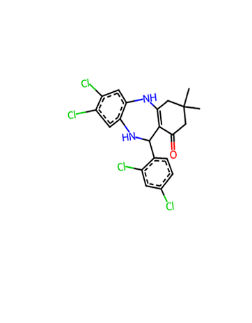 CC1(C)CC(=O)C2=C(C1)Nc1cc(Cl)c(Cl)cc1NC2c1ccc(Cl)cc1Cl